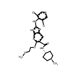 COCCOc1nc2[nH]c(Nc3c(Cl)cncc3Cl)nc2cc1C(=O)N[C@H]1CC[C@H](C)CC1